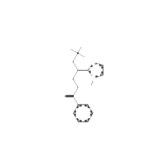 Cn1ccnc1C(CCC(=O)c1ccccc1)CC(F)(F)F